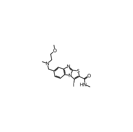 CNC(=O)c1sc2nc3cc(CN(C)CCOC)ccc3n2c1I